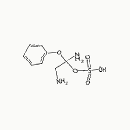 NCC(N)(Oc1ccccc1)OS(=O)(=O)O